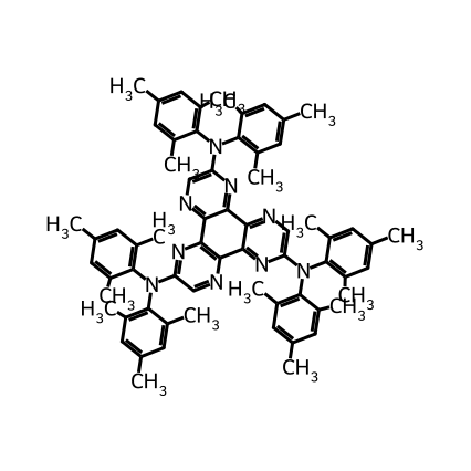 Cc1cc(C)c(N(c2cnc3c(n2)c2ncc(N(c4c(C)cc(C)cc4C)c4c(C)cc(C)cc4C)nc2c2ncc(N(c4c(C)cc(C)cc4C)c4c(C)cc(C)cc4C)nc32)c2c(C)cc(C)cc2C)c(C)c1